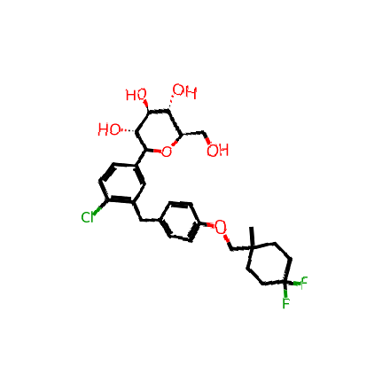 CC1(COc2ccc(Cc3cc(C4O[C@H](CO)[C@@H](O)[C@H](O)[C@H]4O)ccc3Cl)cc2)CCC(F)(F)CC1